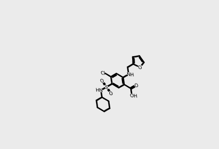 O=C(O)c1cc(S(=O)(=O)NC2CCCCC2)c(Cl)cc1NCc1ccco1